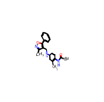 Cc1cc(NCc2c(C)noc2-c2ccccc2)ccc1NC(=O)C(C)(C)C